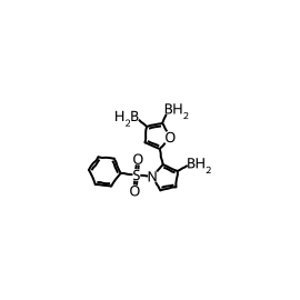 Bc1cc(-c2c(B)ccn2S(=O)(=O)c2ccccc2)oc1B